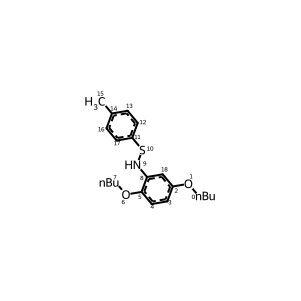 CCCCOc1ccc(OCCCC)c(NSc2ccc(C)cc2)c1